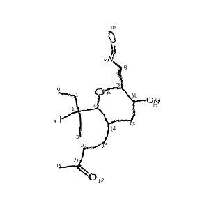 CCC(C)(I)C1OC(CN=O)C(O)CC1CCC(C)=O